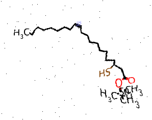 CCCCCCCC/C=C\CCCCCCCCC(S)CC(=O)[O][Sn]([CH3])([CH3])[CH3]